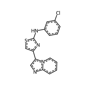 Clc1cccc(Nc2nc(-c3cnc4ccccn34)cs2)c1